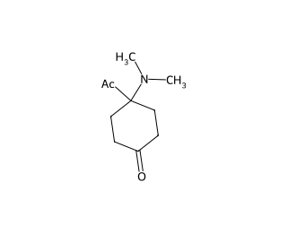 CC(=O)C1(N(C)C)CCC(=O)CC1